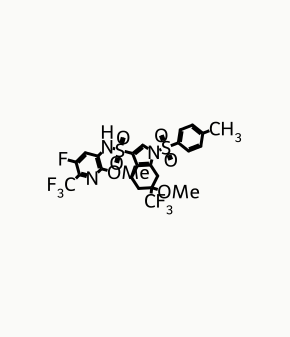 COc1nc(C(F)(F)F)c(F)cc1NS(=O)(=O)c1cn(S(=O)(=O)c2ccc(C)cc2)c2c1CCC(OC)(C(F)(F)F)C2